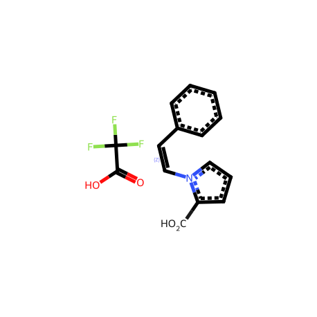 O=C(O)C(F)(F)F.O=C(O)c1cccn1/C=C\c1ccccc1